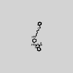 CN(C)c1nc(N[C@H]2CC[C@@H](NCCCCCOCc3ccccc3)CC2)nc2ccccc12